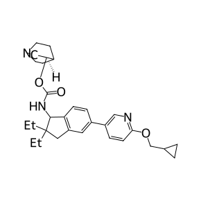 CCC1(CC)Cc2cc(-c3ccc(OCC4CC4)nc3)ccc2C1NC(=O)O[C@H]1CN2CCC1CC2